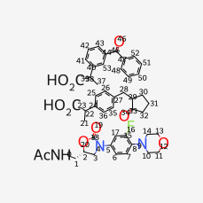 CC(=O)NC[C@H]1CN(c2ccc(N3CCOCC3)c(F)c2)C(=O)O1.CC(C(=O)O)c1ccc(CC2CCCC2=O)cc1.CC(C(=O)O)c1cccc(C(=O)c2ccccc2)c1